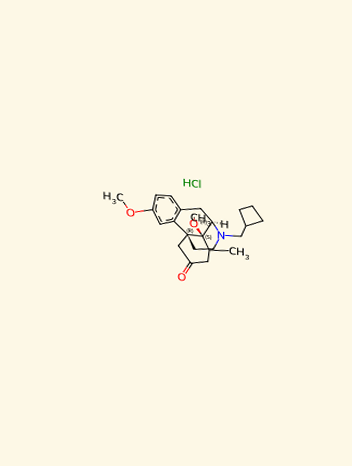 COc1ccc2c(c1)[C@]13CCN(CC4CCC4)[C@H](C2)[C@]1(OC)C(C)CC(=O)C3.Cl